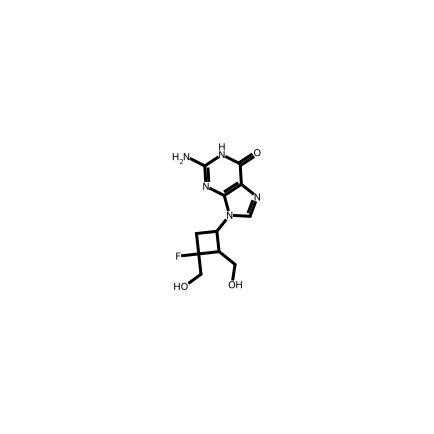 Nc1nc2c(ncn2C2CC(F)(CO)C2CO)c(=O)[nH]1